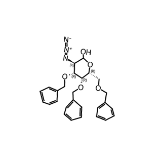 [N-]=[N+]=N[C@H]1C(O)O[C@H](COCc2ccccc2)[C@H](OCc2ccccc2)[C@@H]1OCc1ccccc1